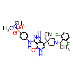 CC(c1c(F)cccc1F)N1CCC(CC#N)(c2c[nH]c(=O)c3c(Nc4ccc(S(=O)(=O)N(C)C)cc4)n[nH]c23)CC1